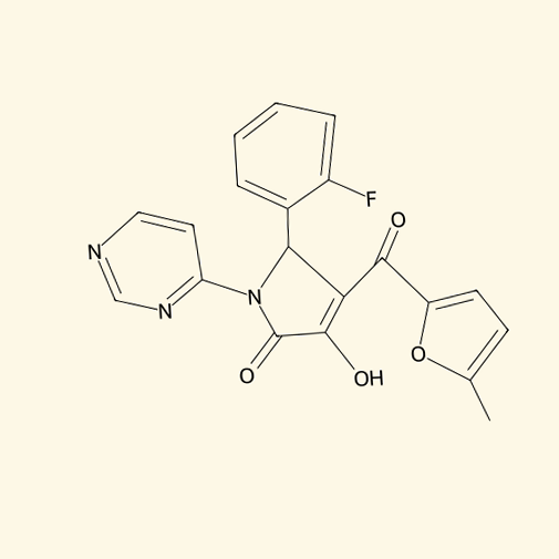 Cc1ccc(C(=O)C2=C(O)C(=O)N(c3ccncn3)C2c2ccccc2F)o1